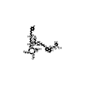 C#C[C@H]1CC(F)(F)CN1C(=O)CNC(=O)c1ccnc2ccc(OCCCCN3CCN(C(=O)[C@H](CC(=O)OC)NC(=O)[C@H](CCCCNC(=O)CCCc4ccc(I)cc4)NC(=O)CN4CCN(COC=O)CCN(COC=O)CCN(CC(=O)O)CC4)CC3)cc12